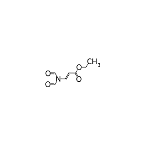 CCOC(=O)C=CN(C=O)C=O